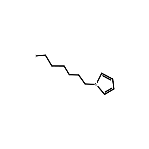 ICCCCCCn1cccc1